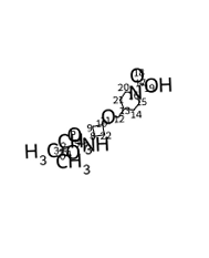 CC(C)(C)OC(=O)NC1CC(OCC2CCN(C(=O)O)CC2)C1